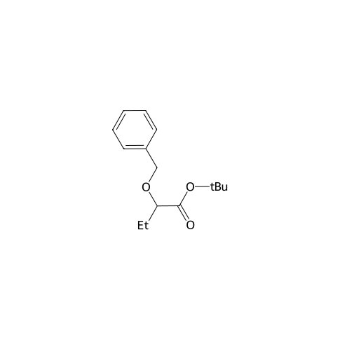 CCC(OCc1ccccc1)C(=O)OC(C)(C)C